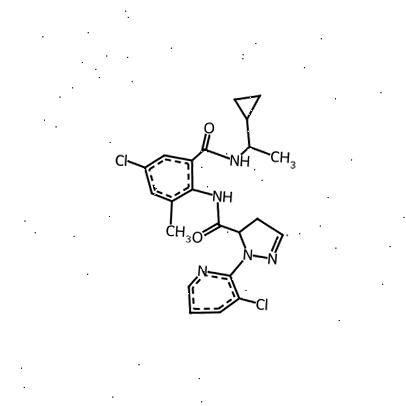 Cc1cc(Cl)cc(C(=O)NC(C)C2CC2)c1NC(=O)C1C[C]=NN1c1ncccc1Cl